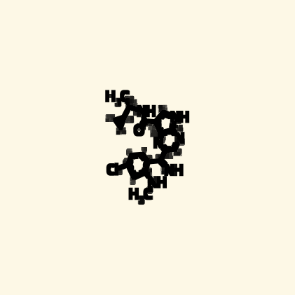 CNc1cc(Cl)ccc1C(=N)c1cnc2[nH]cc(C(=O)N[C@@H](C)C3CC3)c2n1